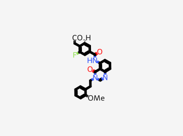 COc1ccccc1CCn1cnc2cccc(NC(=O)c3ccc(CC(=O)O)c(F)c3)c2c1=O